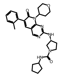 Cc1ccccc1-c1cc2cnc(N[C@H]3CCN(C(=O)NC4CCCC4)C3)nc2n(C2CCOCC2)c1=O